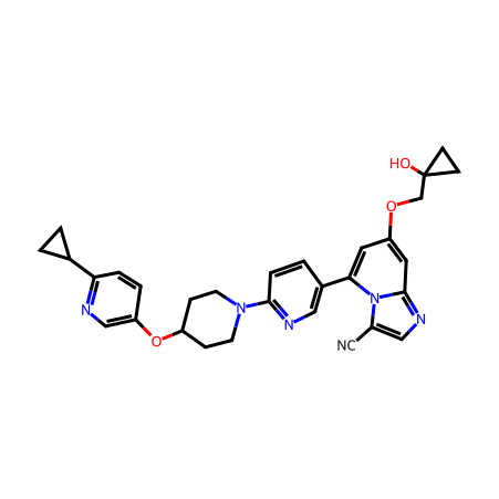 N#Cc1cnc2cc(OCC3(O)CC3)cc(-c3ccc(N4CCC(Oc5ccc(C6CC6)nc5)CC4)nc3)n12